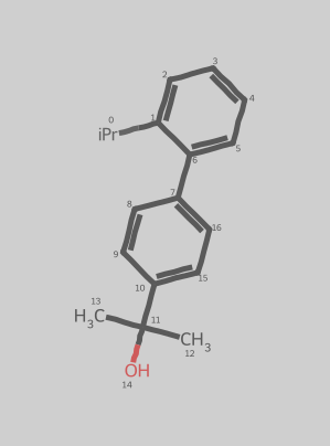 CC(C)c1ccccc1-c1ccc(C(C)(C)O)cc1